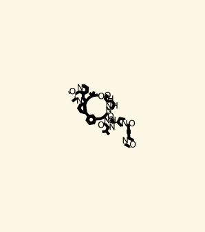 CCn1c(-c2cccnc2[C@H](C)OC)c2c3cc(ccc31)-c1cccc(c1)C[C@H](NC(=O)C(C(C)C)N(C)C(=O)[C@H]1CCN(C(=O)C#CC3=NCCOC3)C1)C(=O)N1CCC[C@H](N1)C(=O)OCC(C)(C)C2